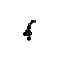 O=C1[C@@H]2N=C(c3ccc(OCCCO)cc3)O[C@H]2c2ccccc2CN1Cc1ccccc1